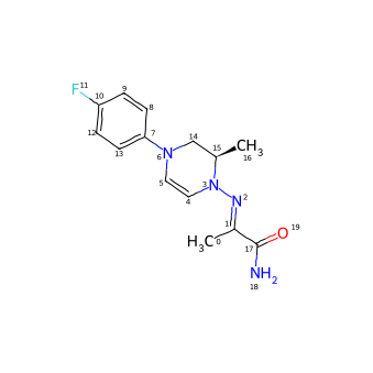 C/C(=N\N1C=CN(c2ccc(F)cc2)C[C@H]1C)C(N)=O